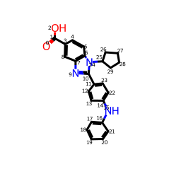 O=C(O)c1ccc2c(c1)nc(-c1ccc(Nc3ccccc3)cc1)n2C1CCCC1